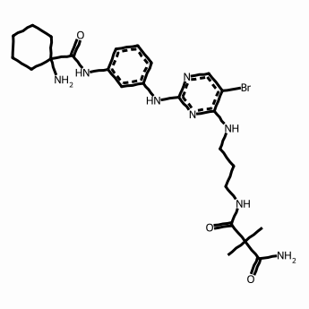 CC(C)(C(N)=O)C(=O)NCCCNc1nc(Nc2cccc(NC(=O)C3(N)CCCCC3)c2)ncc1Br